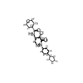 O=C(Nc1cnn(-c2ccc(C3CCCC3)cc2)c(=O)c1Cl)C1CCOCC1